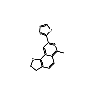 Cc1nc(-c2ncco2)cc2c3c(ccc12)CCO3